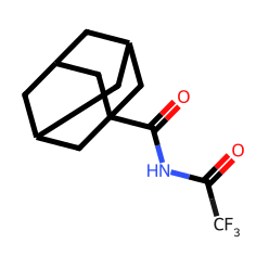 O=C(NC(=O)C12CC3CC(CC(C3)C1)C2)C(F)(F)F